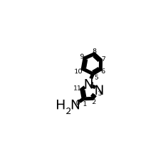 Nc1cnn(-c2ccccc2)c1